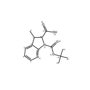 CC1c2cccnc2N(C(=O)OC(C)(C)C)C1C(=O)O